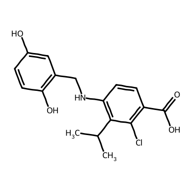 CC(C)c1c(NCc2cc(O)ccc2O)ccc(C(=O)O)c1Cl